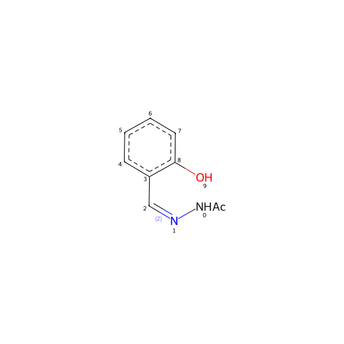 CC(=O)N/N=C\c1ccccc1O